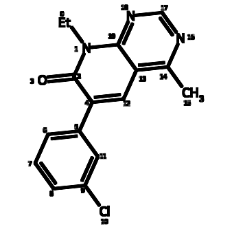 CCn1c(=O)c(-c2cccc(Cl)c2)cc2c(C)ncnc21